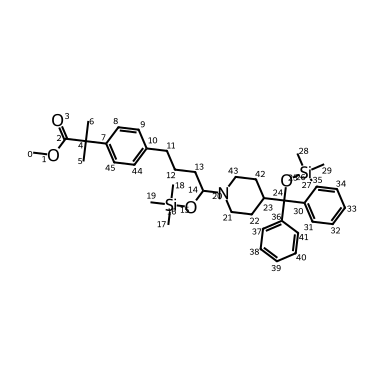 COC(=O)C(C)(C)c1ccc(CCCC(O[Si](C)(C)C)N2CCC(C(O[Si](C)(C)C)(c3ccccc3)c3ccccc3)CC2)cc1